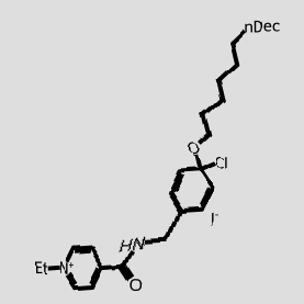 CCCCCCCCCCCCCCCCOC1(Cl)C=CC(CNC(=O)c2cc[n+](CC)cc2)C=C1.[I-]